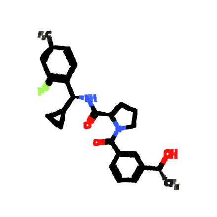 O=C(N[C@@H](c1ccc(C(F)(F)F)cc1F)C1CC1)[C@H]1CCCN1C(=O)c1cccc([C@H](O)C(F)(F)F)c1